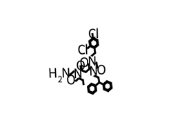 CCC(C)N(CC(N)=O)C(=O)CC1C(=O)N(CCc2ccc(Cl)cc2Cl)CC(=O)N1CCC(c1ccccc1)c1ccccc1